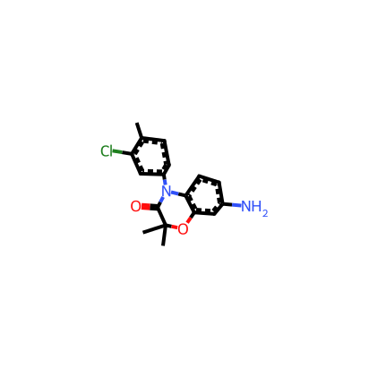 Cc1ccc(N2C(=O)C(C)(C)Oc3cc(N)ccc32)cc1Cl